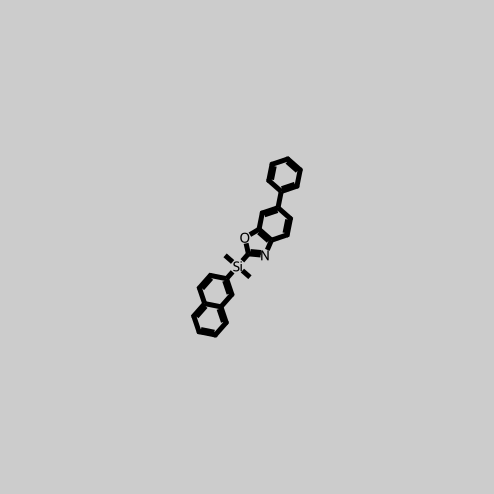 C[Si](C)(c1ccc2ccccc2c1)c1nc2ccc(-c3ccccc3)cc2o1